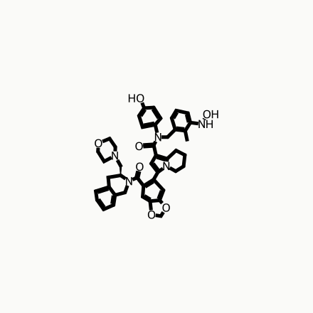 Cc1c(CN(C(=O)c2cc(-c3cc4c(cc3C(=O)N3Cc5ccccc5C[C@H]3CN3CCOCC3)OCO4)n3c2CCCC3)c2ccc(O)cc2)cccc1NO